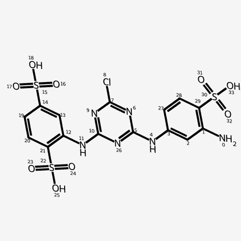 Nc1cc(Nc2nc(Cl)nc(Nc3cc(S(=O)(=O)O)ccc3S(=O)(=O)O)n2)ccc1S(=O)(=O)O